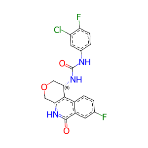 O=C(Nc1ccc(F)c(Cl)c1)N[C@H]1COCc2[nH]c(=O)c3cc(F)ccc3c21